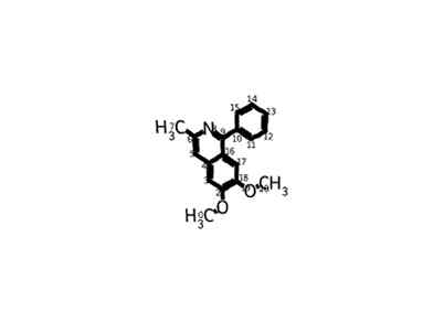 COc1cc2cc(C)nc(-c3ccccc3)c2cc1OC